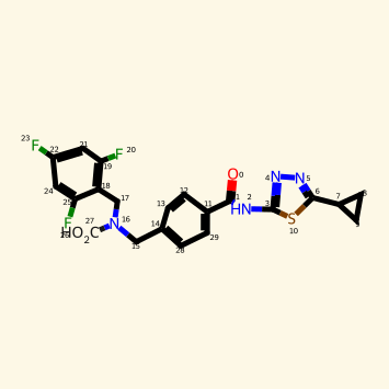 O=C(Nc1nnc(C2CC2)s1)c1ccc(CN(Cc2c(F)cc(F)cc2F)C(=O)O)cc1